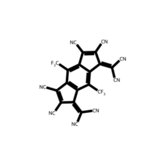 N#CC(C#N)=C1C(C#N)=C(C#N)c2c1c(C(F)(F)F)c1c(c2C(F)(F)F)C(C#N)=C(C#N)C1=C(C#N)C#N